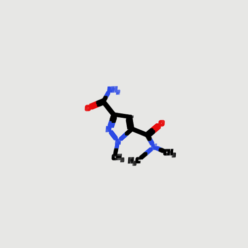 CN(C)C(=O)c1[c]c(C(N)=O)nn1C